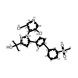 CC(C)(O)c1cc(-c2ccc(-c3cccc(S(C)(=O)=O)c3)s2)n(-c2c(Cl)cncc2Cl)n1